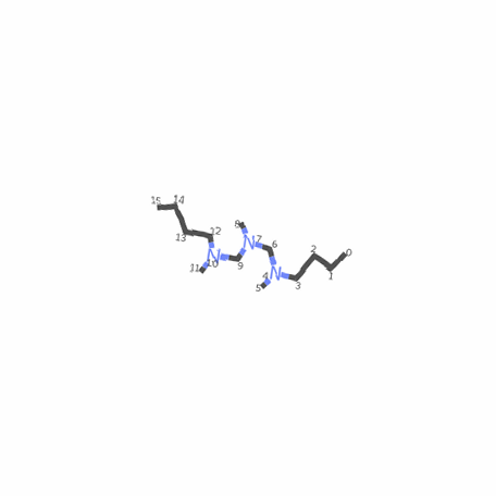 CCCCN(C)CN(C)CN(C)CCCC